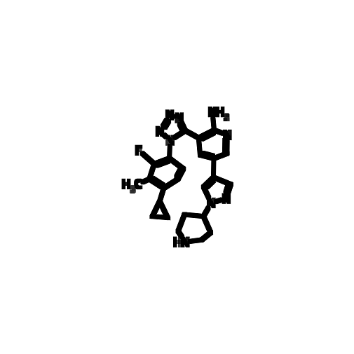 Cc1c(C2CC2)ccc(-n2nnnc2-c2cc(-c3cnn(C4CCNCC4)c3)cnc2N)c1F